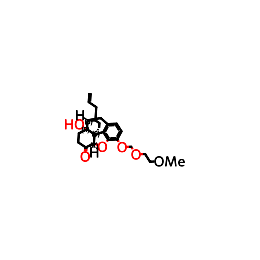 C=CCC1CC[C@]23c4c5ccc(OCOCCOC)c4O[C@H]2C(=O)CC[C@@]3(O)[C@H]1C5